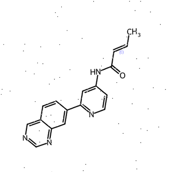 C/C=C/C(=O)Nc1ccnc(-c2ccc3cncnc3c2)c1